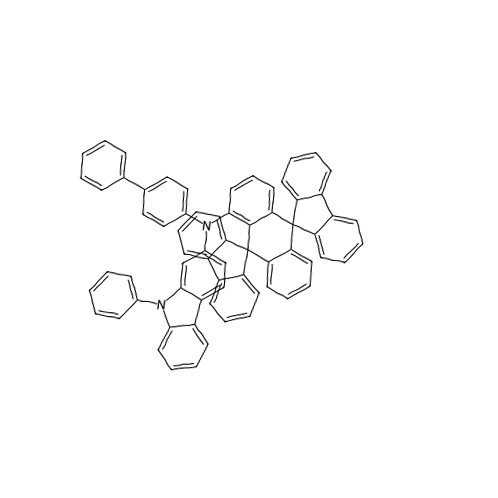 c1ccc(-c2ccc(N(c3ccc4c5ccccc5n(-c5ccccc5)c4c3)c3cccc4c3C3(c5ccccc5-c5ccccc53)c3ccccc3C43c4ccccc4-c4ccccc43)cc2)cc1